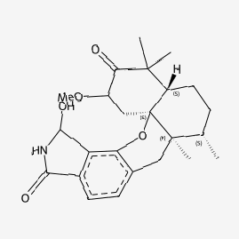 COC1C[C@@]23Oc4c(ccc5c4C(O)NC5=O)C[C@]2(C)[C@@H](C)CC[C@H]3C(C)(C)C1=O